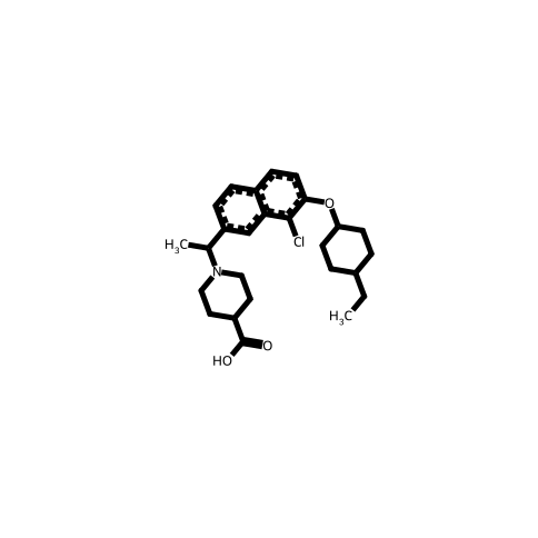 CCC1CCC(Oc2ccc3ccc(C(C)N4CCC(C(=O)O)CC4)cc3c2Cl)CC1